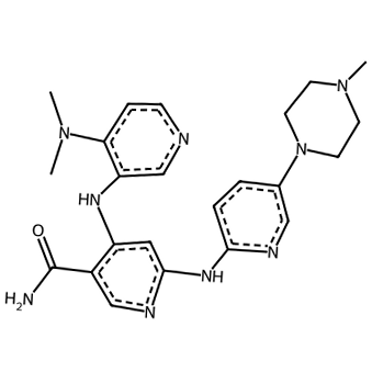 CN1CCN(c2ccc(Nc3cc(Nc4cnccc4N(C)C)c(C(N)=O)cn3)nc2)CC1